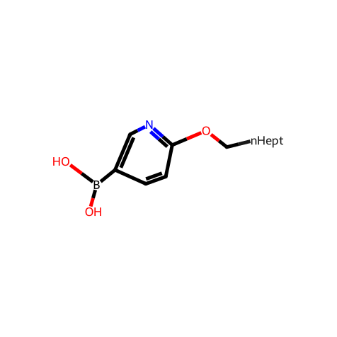 CCCCCCCCOc1ccc(B(O)O)cn1